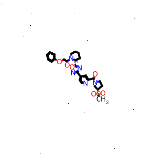 CS(=O)(=O)C1CCN(C(=O)c2cc(-c3noc([C@H]4CCCCN4C(=O)COc4ccccc4)n3)ccn2)C1